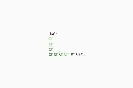 [Ce+3].[Cl-].[Cl-].[Cl-].[Cl-].[Cl-].[Cl-].[Cl-].[K+].[La+3]